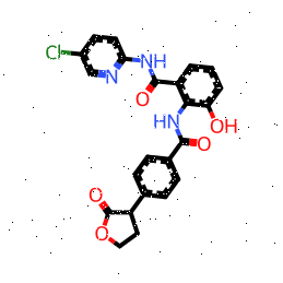 O=C(Nc1c(O)cccc1C(=O)Nc1ccc(Cl)cn1)c1ccc(C2CCOC2=O)cc1